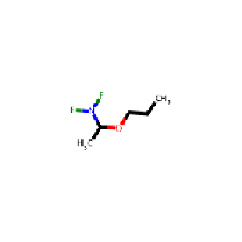 CCCOC(C)N(F)F